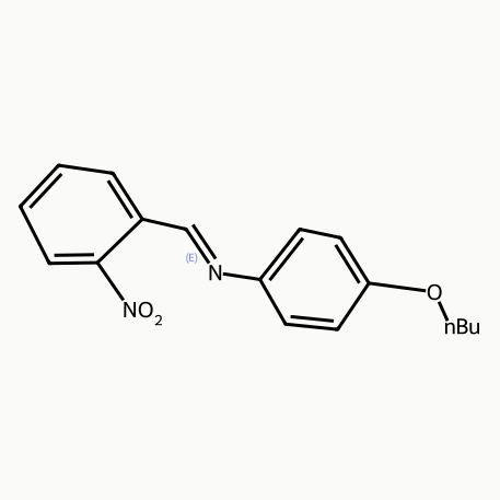 CCCCOc1ccc(/N=C/c2ccccc2[N+](=O)[O-])cc1